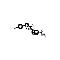 Cn1c(C(=O)N[C@H]2C3CC4CC2C[C@](C(N)=O)(C4)C3)ccc1-c1ccc(Cl)cc1